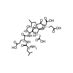 CC(C)C[C@H](NC(=O)[C@H](CC(=O)O)NC(=O)[C@@H](NC(=O)[C@H](CCC(=O)O)NC(=O)[C@@H](N)CC(C)C)[C@@H](C)O)C(=O)N[C@@H](CCC(=O)O)C(=O)O